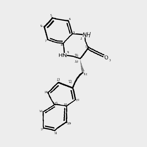 O=C1Nc2ccccc2N[C@H]1Cc1ccc2ccccc2c1